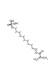 C=C(C)C(=O)OOCCCCCCCCCCOP(=O)(O)O